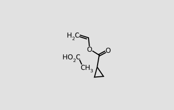 C=COC(=O)C1CC1.CC(=O)O